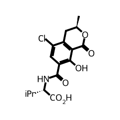 CC(C)[C@H](NC(=O)c1cc(Cl)c2c(c1O)C(=O)O[C@H](C)C2)C(=O)O